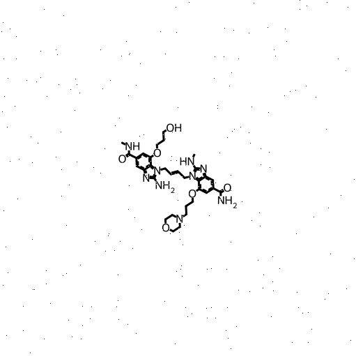 CNC(=O)c1cc(OCCCO)c2c(c1)nc(N)n2C/C=C/Cn1c(NC)nc2cc(C(N)=O)cc(OCCCN3CCOCC3)c21